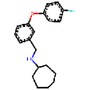 Fc1ccc(Oc2cccc(CNC3CCCCCC3)c2)cc1